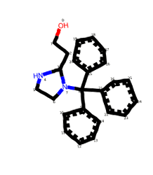 OCCC1NCCN1C(c1ccccc1)(c1ccccc1)c1ccccc1